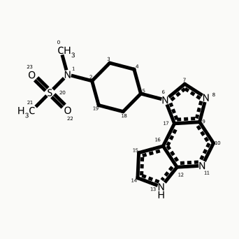 CN(C1CCC(n2cnc3cnc4[nH]ccc4c32)CC1)S(C)(=O)=O